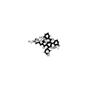 Cc1c(F)cccc1-c1c(C(=O)c2cccc(O)c2)cc(C(=O)C(CCCN(C)C)C(C)(C)O)c(C2CCCNC2)c1O